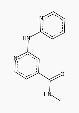 CNC(=O)c1ccnc(Nc2ccccn2)c1